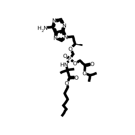 CCCCCCOC(=O)C(C)(C)NP(=O)(CO[C@H](C)Cn1cnc2c(N)ncnc21)OCC(=O)OC(C)C